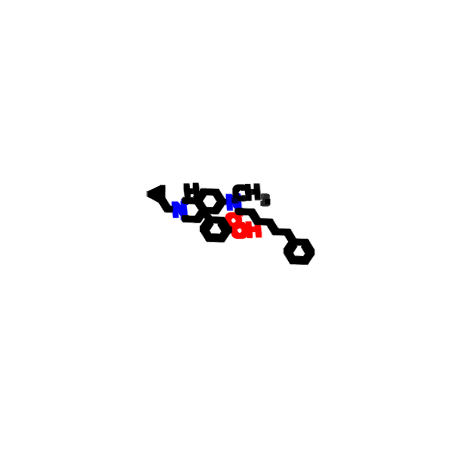 CN(C(=O)CCCCCc1ccccc1)[C@@H]1CC[C@@H]2CN(CC3CC3)CC[C@@]2(c2cccc(O)c2)C1